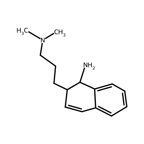 CN(C)CCCC1C=Cc2ccccc2C1N